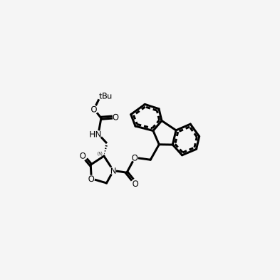 CC(C)(C)OC(=O)NC[C@H]1C(=O)OCN1C(=O)OCC1c2ccccc2-c2ccccc21